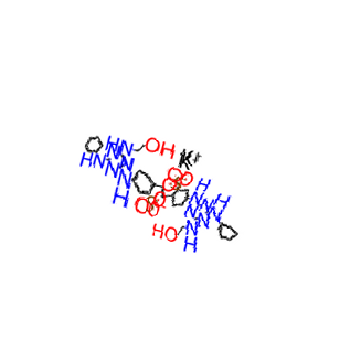 O=S(=O)([O-])c1cc(Nc2nc(NCCO)nc(Nc3ccccc3)n2)ccc1C=Cc1ccc(Nc2nc(NCCO)nc(Nc3ccccc3)n2)cc1S(=O)(=O)[O-].[K+].[K+]